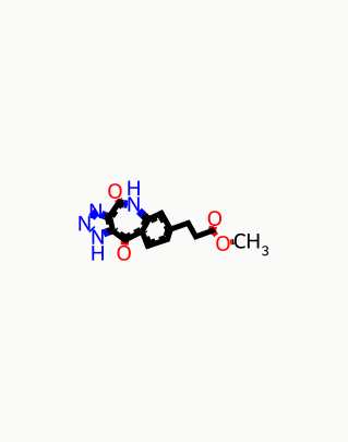 COC(=O)CCc1ccc2c(=O)c3[nH]nnc3c(=O)[nH]c2c1